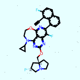 C#Cc1c(F)ccc2cccc(-c3nc4c5c(nc(OC[C@@]67CCCN6C[C@H](F)C7)nc5c3F)N(C3CC3)CCO4)c12